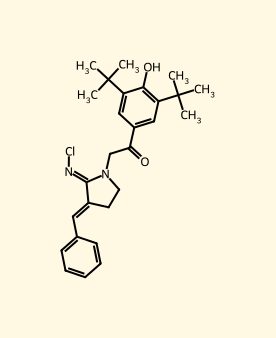 CC(C)(C)c1cc(C(=O)CN2CCC(=C\c3ccccc3)/C2=N/Cl)cc(C(C)(C)C)c1O